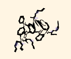 C=C/C=C\C=C(/C)N1c2cc3c(cc2B2c4ccccc4N(/C(C=C)=C/C=C\C)c4cccc1c42)B1C(/C=C\C=C)=C(C)N(C(/C=C\C=C)=C/C=C)c2cccc(c21)N3c1ccccc1